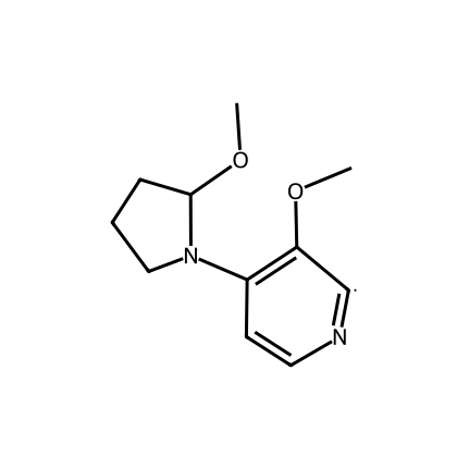 COc1[c]nccc1N1CCCC1OC